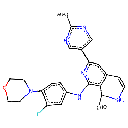 COc1ncc(-c2cc3c(c(Nc4ccc(N5CCOCC5)c(F)c4)n2)C(C=O)NC=C3)cn1